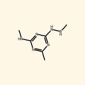 CBNc1nc(C)nc(NC)n1